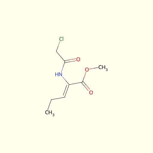 CCC=C(NC(=O)CCl)C(=O)OC